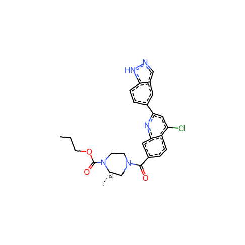 CCCOC(=O)N1CCN(C(=O)c2ccc3c(Cl)cc(-c4ccc5[nH]ncc5c4)nc3c2)C[C@@H]1C